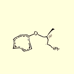 CC(C)[CH][C@H](C)Oc1ccccc1